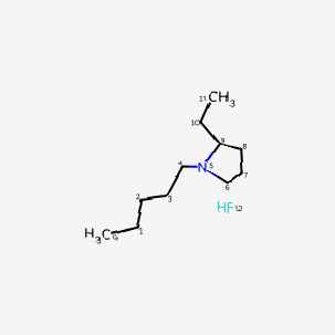 CCCCCN1CCCC1CC.F